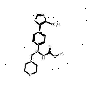 CCOC(=O)c1ncsc1-c1ccc([C@H](CN2CCOCC2)NC(=O)OC(C)(C)C)cc1